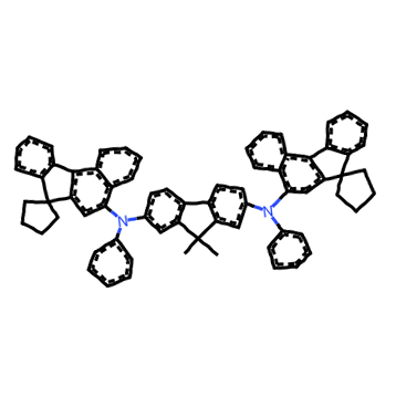 CC1(C)c2cc(N(c3ccccc3)c3cc4c(c5ccccc35)-c3ccccc3C43CCCC3)ccc2-c2ccc(N(c3ccccc3)c3cc4c(c5ccccc35)-c3ccccc3C43CCCC3)cc21